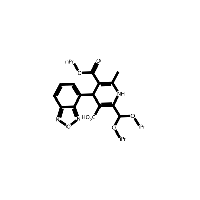 CCCOC(=O)C1=C(C)NC(C(OC(C)C)OC(C)C)=C(C(=O)O)C1c1cccc2nonc12